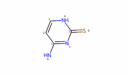 [NH]c1cc[nH]c(=S)n1